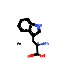 N[C@H](Cc1c[nH]c2ccccc12)C(=O)O.[Fe]